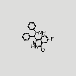 O=c1[nH]nc2c3c(cc(F)cc13)NC(c1ccccc1)C2c1ccccc1